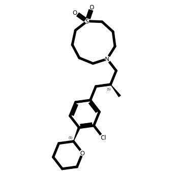 C[C@@H](Cc1ccc([C@@H]2CCCCO2)c(Cl)c1)CN1CCCCS(=O)(=O)CCC1